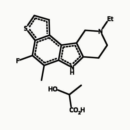 CC(O)C(=O)O.CCN1CCc2[nH]c3c(C)c(F)c4sccc4c3c2C1